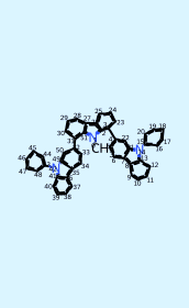 Cn1c2c(-c3ccc4c5ccccc5n(-c5ccccc5)c4c3)cccc2c2cccc(-c3ccc4c5ccccc5n(-c5ccccc5)c4c3)c21